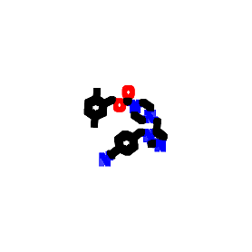 Cc1ccc(C)c(COC(=O)N2CCN(Cc3cncn3Cc3ccc(C#N)cc3)CC2)c1